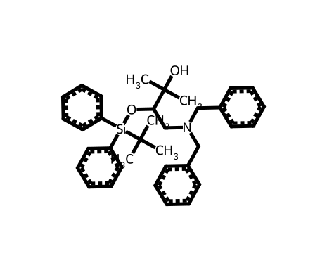 CC(C)(O)C(CN(Cc1ccccc1)Cc1ccccc1)O[Si](c1ccccc1)(c1ccccc1)C(C)(C)C